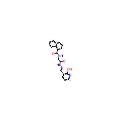 O=C(CNC(=O)c1cccc2ccccc12)N/N=C/c1cccnc1O